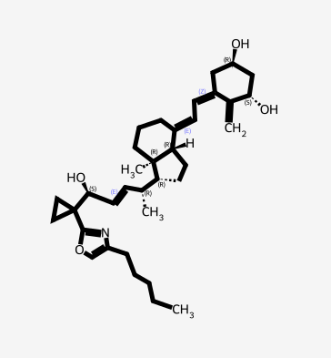 C=C1/C(=C\C=C2/CCC[C@]3(C)[C@@H]([C@H](C)/C=C/[C@H](O)C4(c5nc(CCCCC)co5)CC4)CC[C@@H]23)C[C@@H](O)C[C@@H]1O